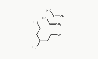 C=CC.C=CC.CC(CCO)CCO